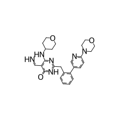 N=Cc1c(NC2CCOCC2)nc(Cc2ccccc2-c2ccc(N3CCOCC3)nc2)[nH]c1=O